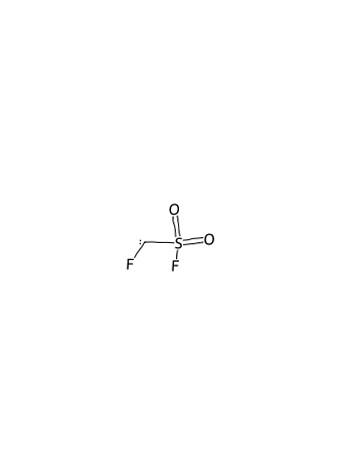 O=S(=O)(F)[C]F